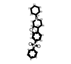 O=S(=O)(c1ccccc1)c1ccc2c(c1)OC1CN(C3CCCCC3)CCC21